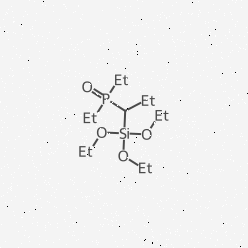 CCO[Si](OCC)(OCC)C(CC)P(=O)(CC)CC